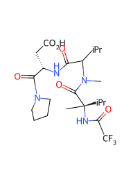 CC(C)C(C(=O)N[C@@H](CC(=O)O)C(=O)N1CCCC1)N(C)C(=O)[C@@](C)(NC(=O)C(F)(F)F)C(C)C